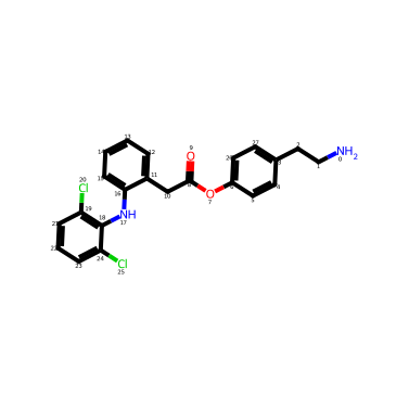 NCCc1ccc(OC(=O)Cc2ccccc2Nc2c(Cl)cccc2Cl)cc1